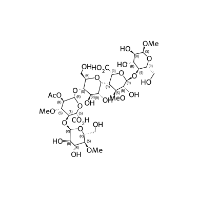 CO[C@H]1O[C@H](CO)[C@@H](O[C@@H]2O[C@@H](C(=O)O)[C@@H](C3O[C@H](CO)[C@@H](O[C@@H]4O[C@H](C(=O)O)[C@@H](O[C@H]5O[C@H](CO)[C@@H](OC)[C@H](O)[C@H]5O)[C@H](OC)[C@H]4OC(C)=O)[C@H](O)[C@H]3O)[C@H](OC)[C@H]2O)[C@H](O)[C@H]1O